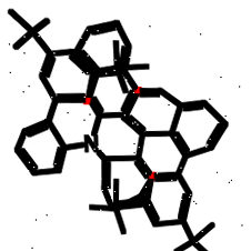 CC(C)(C)c1cc(-c2ccccc2N(c2ccc3ccccc3c2)c2ccccc2-c2cccc3cccc(-c4cc(C(C)(C)C)cc(C(C)(C)C)c4)c23)cc(C(C)(C)C)c1